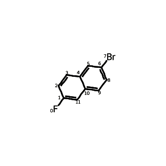 Fc1ccc2cc(Br)ccc2c1